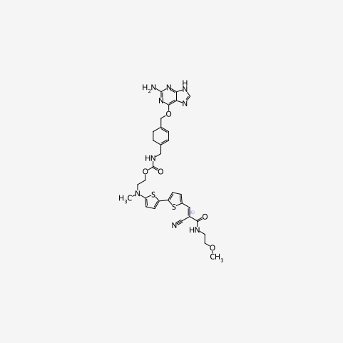 COCCNC(=O)/C(C#N)=C/c1ccc(-c2ccc(N(C)CCOC(=O)NCC3=CC=C(COc4nc(N)nc5[nH]cnc45)CC3)s2)s1